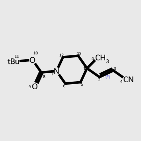 CC1(/C=C/C#N)CCN(C(=O)OC(C)(C)C)CC1